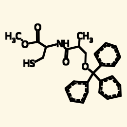 COC(=O)C(CS)NC(=O)C(C)COC(c1ccccc1)(c1ccccc1)c1ccccc1